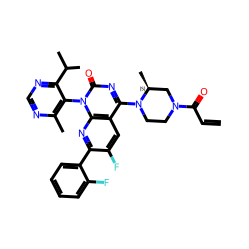 C=CC(=O)N1CCN(c2nc(=O)n(-c3c(C)ncnc3C(C)C)c3nc(-c4ccccc4F)c(F)cc23)[C@@H](C)C1